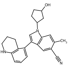 Cc1cc2c(cc1C#N)c(-c1cccc3c1CCCN3)cn2C1CCC(O)C1